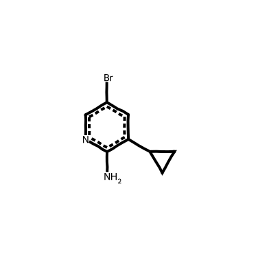 Nc1ncc(Br)cc1C1CC1